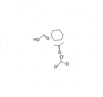 C1CCCCC1.CC(C)=O.ClC(Cl)Cl.O=CO